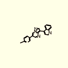 C=C(C)/C=C\C(=C/C)c1cnc2c(-c3ccnc4ccccc34)cnn2c1